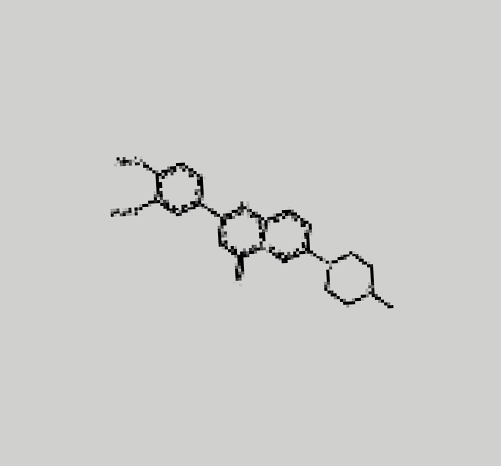 COc1ccc(-c2cc(=O)n3cc(N4CCN(C)CC4)ccc3n2)cc1OC